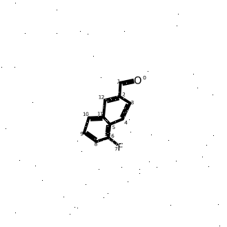 O=Cc1ccc2c(F)cccc2c1